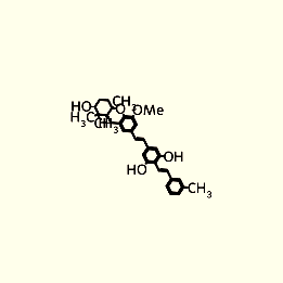 COc1cc(/C=C/c2cc(O)c(/C=C/c3cccc(C)c3)c(O)c2)cc2c1O[C@]1(C)CC[C@@H](O)C(C)(C)[C@H]1C2